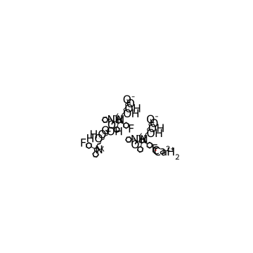 CC(C)c1c(C(=O)Nc2ccccc2)c(-c2ccccc2)c(-c2ccc(F)cc2)n1CC[C@@H](O)C[C@@H](O)CC(=O)[O-].CC(C)c1c(C(=O)Nc2ccccc2)c(-c2ccccc2)c(-c2ccc(F)cc2)n1CC[C@@H](O)C[C@@H](O)CC(=O)[O-].CC(C)n1c(/C=C/[C@H](O)C[C@H](O)CC(=O)O)c(-c2ccc(F)cc2)c2ccccc21.[Ca+2].[CaH2]